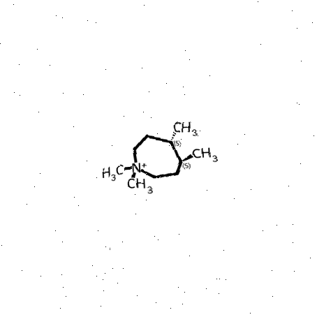 C[C@H]1CC[N+](C)(C)CC[C@@H]1C